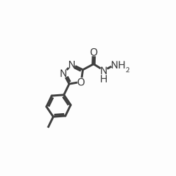 Cc1ccc(-c2nnc(C(=O)NN)o2)cc1